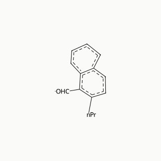 CCCc1ccc2ccccc2c1[C]=O